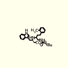 Cc1ccccc1CCC(CNC(=O)OC(C)(C)C)N[C@@H](CC(=O)O)Cc1c[nH]c2ccccc12